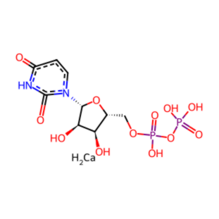 O=c1ccn([C@@H]2O[C@H](COP(=O)(O)OP(=O)(O)O)[C@@H](O)[C@H]2O)c(=O)[nH]1.[CaH2]